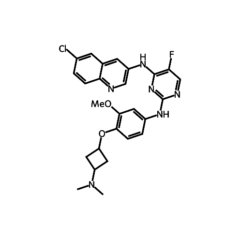 COc1cc(Nc2ncc(F)c(Nc3cnc4ccc(Cl)cc4c3)n2)ccc1OC1CC(N(C)C)C1